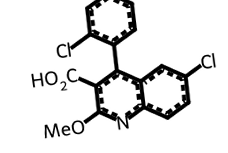 COc1nc2ccc(Cl)cc2c(-c2ccccc2Cl)c1C(=O)O